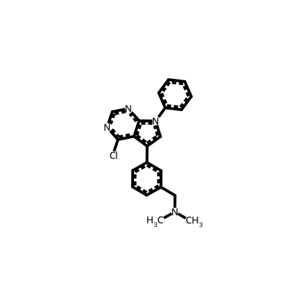 CN(C)Cc1cccc(-c2cn(-c3ccccc3)c3ncnc(Cl)c23)c1